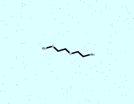 CC(C)(C)CCOCCSC(C)(C)C